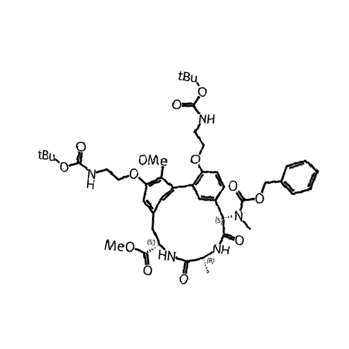 COC(=O)[C@@H]1Cc2cc(OCCNC(=O)OC(C)(C)C)c(OC)c(c2)-c2cc(ccc2OCCNC(=O)OC(C)(C)C)[C@H](N(C)C(=O)OCc2ccccc2)C(=O)N[C@H](C)C(=O)N1